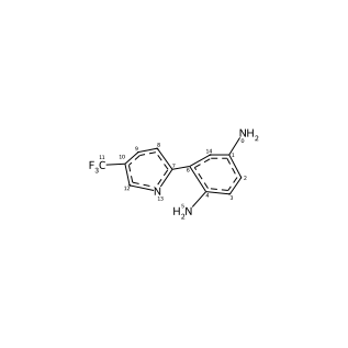 Nc1ccc(N)c(-c2ccc(C(F)(F)F)cn2)c1